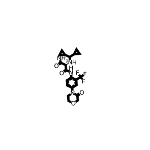 NC(=O)[C@H](NC(C1CC1)C1CC1)C(=O)Nc1ccc(N2CCOCC2=O)cc1C(F)(F)F